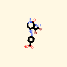 O=C(O)c1ccc(N/N=C2/CCNC(=O)c3[nH]c(Br)c(Br)c32)cc1